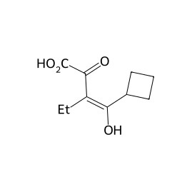 CCC(C(=O)C(=O)O)=C(O)C1CCC1